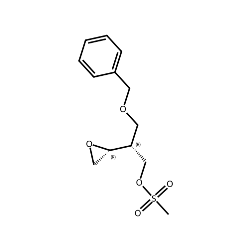 CS(=O)(=O)OC[C@@H](COCc1ccccc1)[C@@H]1CO1